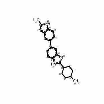 Cc1nc2cc(-c3ccc4[nH]c(C5CCC(C)CC5)nc4c3)ccc2[nH]1